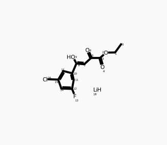 CCOC(=O)C(=O)C=C(O)c1cc(F)cc(Cl)c1.[LiH]